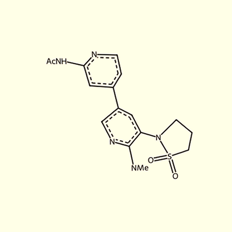 CNc1ncc(-c2ccnc(NC(C)=O)c2)cc1N1CCCS1(=O)=O